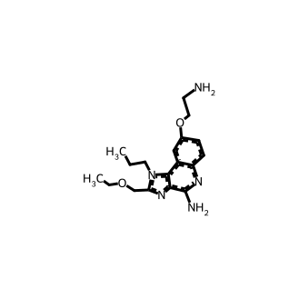 CCCn1c(COCC)nc2c(N)nc3ccc(OCCN)cc3c21